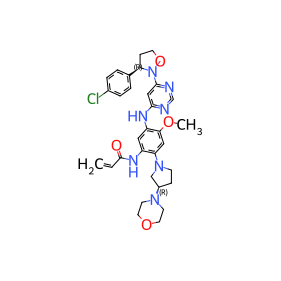 C=CC(=O)Nc1cc(Nc2cc(N3OCC[C@@H]3c3ccc(Cl)cc3)ncn2)c(OC)cc1N1CC[C@@H](N2CCOCC2)C1